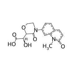 Cn1c(=O)ccc2ccc(N3CCOC([C@@H](O)C(=O)O)C3=O)cc21